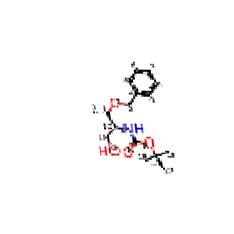 C[C@H](OCc1ccccc1)[C@H](CO)NC(=O)OC(C)(C)C